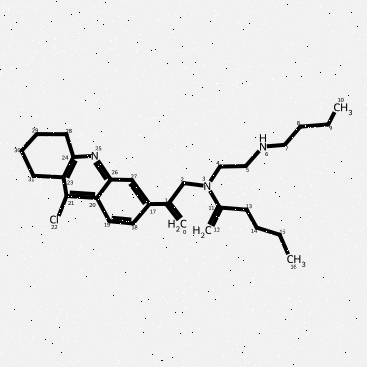 C=C(CN(CCNCCCC)C(=C)CCCC)c1ccc2c(Cl)c3c(nc2c1)CCCC3